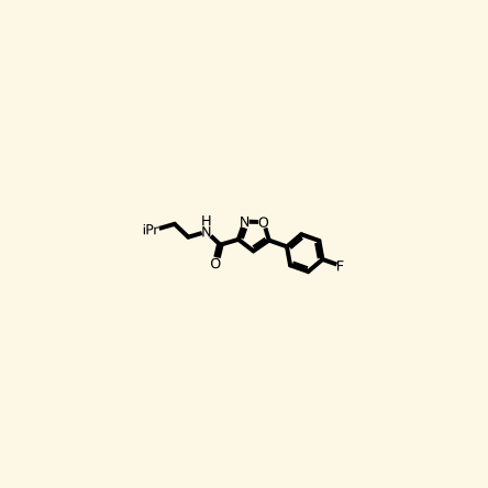 CC(C)CCNC(=O)c1cc(-c2ccc(F)cc2)on1